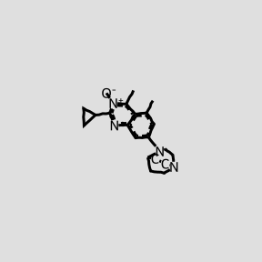 Cc1cc(N2CCN3CCC2CC3)cc2nc(C3CC3)[n+]([O-])c(C)c12